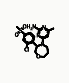 Cc1cc(N2CCCOCC2c2ccc(S(C)(=O)=O)cc2Cl)nc(N)n1